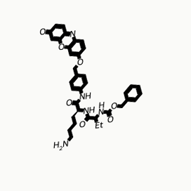 CCC(NC(=O)OCc1ccccc1)C(=O)N[C@@H](CCCCN)C(=O)Nc1ccc(COc2ccc3nc4ccc(=O)cc-4oc3c2)cc1